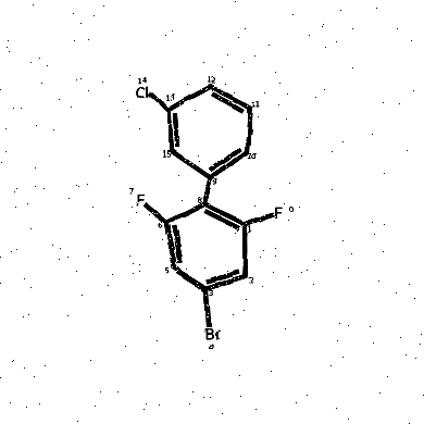 Fc1cc(Br)cc(F)c1-c1cc[c]c(Cl)c1